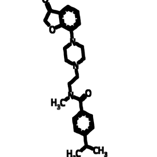 CC(C)c1ccc(C(=O)N(C)CCN2CCN(c3cccc4c3OCC4=O)CC2)cc1